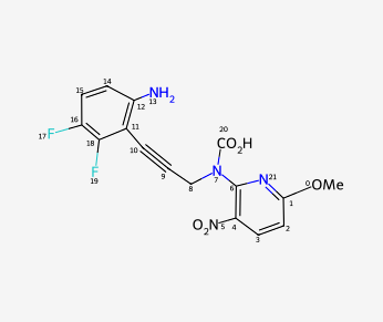 COc1ccc([N+](=O)[O-])c(N(CC#Cc2c(N)ccc(F)c2F)C(=O)O)n1